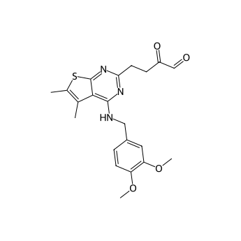 COc1ccc(CNc2nc(CCC(=O)C=O)nc3sc(C)c(C)c23)cc1OC